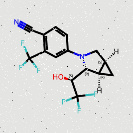 N#Cc1ccc(N2C[C@H]3C[C@H]3[C@@H]2[C@H](O)C(F)(F)F)cc1C(F)(F)F